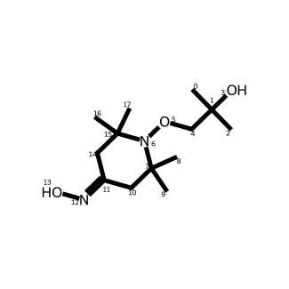 CC(C)(O)CON1C(C)(C)CC(=NO)CC1(C)C